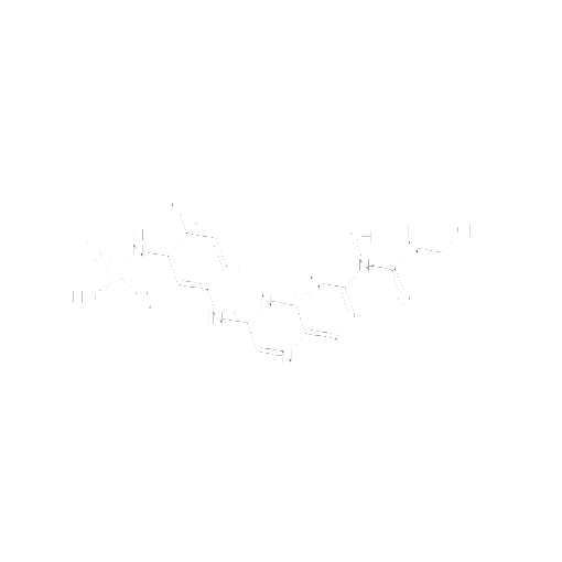 CCNC(=O)N(S)c1ccc2ncc(Nc3ccc(C)c(NS(C)(=O)=O)c3)nc2n1